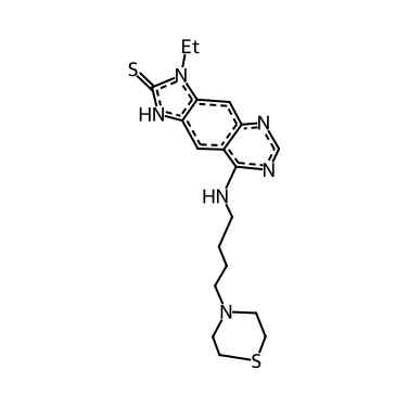 CCn1c(=S)[nH]c2cc3c(NCCCCN4CCSCC4)ncnc3cc21